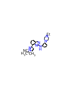 CCN1CCN(c2cccc(Nc3ncc4cccc(-c5ccn(C(C)(C)C#N)n5)c4n3)c2)CC1